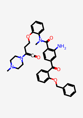 CN1CCN(C(=C=O)CCOc2ccccc2N(C)C(=O)c2ccc(C(=O)c3ccccc3OCc3ccccc3)cc2N)CC1